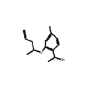 C=CCC(C)Oc1cc(C)ccc1C(C)O